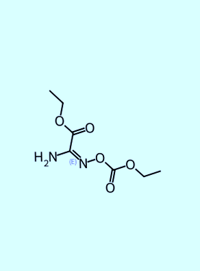 CCOC(=O)O/N=C(/N)C(=O)OCC